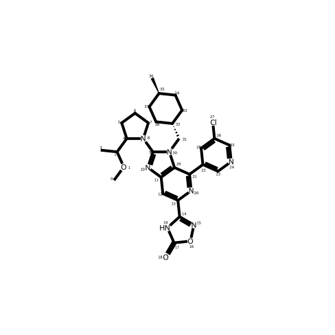 COC(C)C1CCCN1c1nc2cc(-c3noc(=O)[nH]3)nc(-c3cncc(Cl)c3)c2n1C[C@H]1CC[C@H](C)CC1